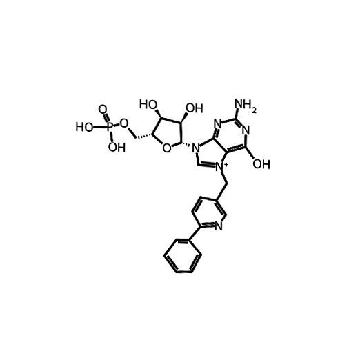 Nc1nc(O)c2c(n1)n([C@@H]1O[C@H](COP(=O)(O)O)[C@@H](O)[C@H]1O)c[n+]2Cc1ccc(-c2ccccc2)nc1